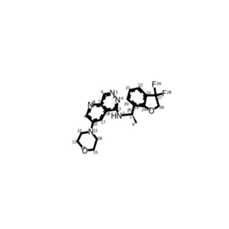 C[C@@H](Nc1nncc2ncc(N3CCOCC3)cc12)c1cccc2c1OCC2(F)F